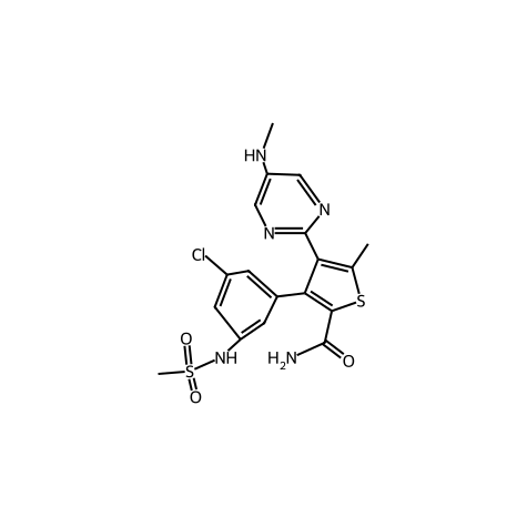 CNc1cnc(-c2c(C)sc(C(N)=O)c2-c2cc(Cl)cc(NS(C)(=O)=O)c2)nc1